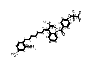 Nc1ccc(CCCCCC/C=C(/C(=O)O)c2ccccc2OC(=O)c2ccc(OC(F)(F)C(F)F)cc2)c(N)c1